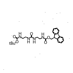 CC(C)(C)OC(=O)NCCNC(=O)NCCNC(=O)OCC1c2ccccc2-c2ccccc21